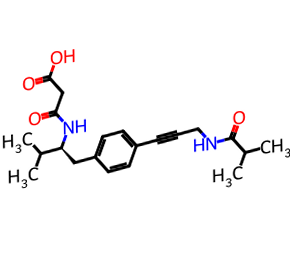 CC(C)C(=O)NCC#Cc1ccc(C[C@H](NC(=O)CC(=O)O)C(C)C)cc1